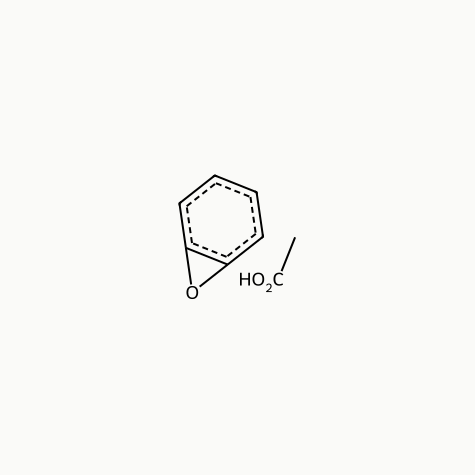 CC(=O)O.c1ccc2c(c1)O2